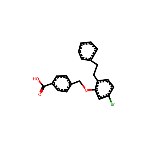 O=C(O)c1ccc(COc2cc(Br)ccc2CCc2ccccc2)cc1